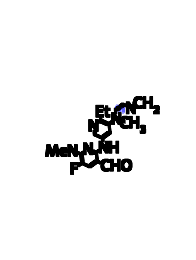 C=N/C=C\N(C)c1cc(Nc2nc(NC)c(F)cc2C=O)cnc1CC